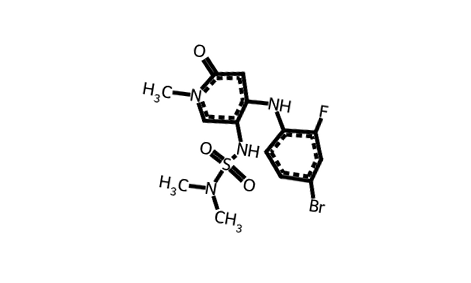 CN(C)S(=O)(=O)Nc1cn(C)c(=O)cc1Nc1ccc(Br)cc1F